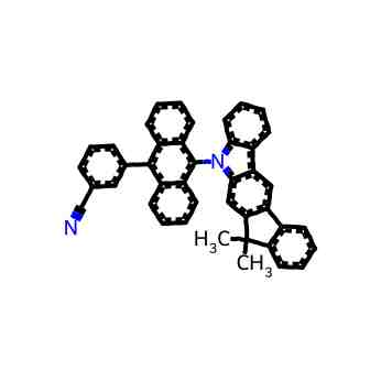 CC1(C)c2ccccc2-c2cc3c4ccccc4n(-c4c5ccccc5c(-c5cccc(C#N)c5)c5ccccc45)c3cc21